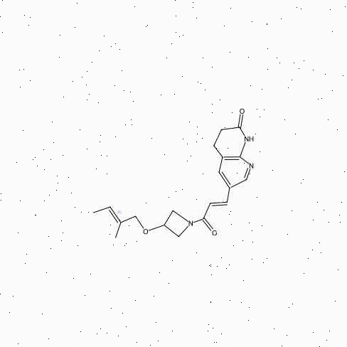 C/C=C(\C)COC1CN(C(=O)C=Cc2cnc3c(c2)CCC(=O)N3)C1